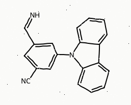 N#Cc1cc(C=N)cc(-n2c3ccccc3c3ccccc32)c1